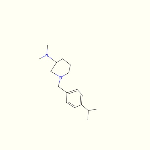 CC(C)c1ccc(CN2CCCC(N(C)C)C2)cc1